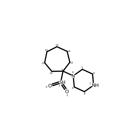 O=[SH](=O)C1(N2CCNCC2)CCCCCC1